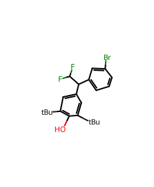 CC(C)(C)c1cc(C(c2cccc(Br)c2)C(F)F)cc(C(C)(C)C)c1O